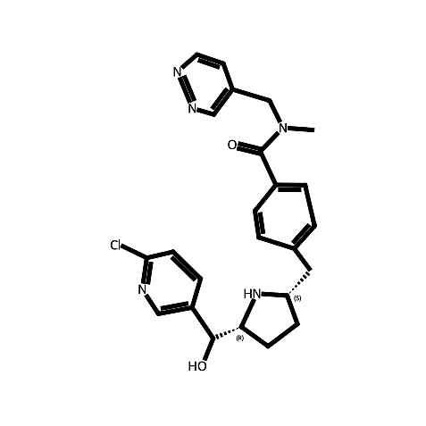 CN(Cc1ccnnc1)C(=O)c1ccc(C[C@@H]2CC[C@H](C(O)c3ccc(Cl)nc3)N2)cc1